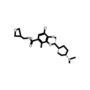 Cc1c(C(=O)NCC2COC2)cc(Cl)c2c1O[C@@H]([C@H]1CC[C@@H](N(C)C)CC1)CO2